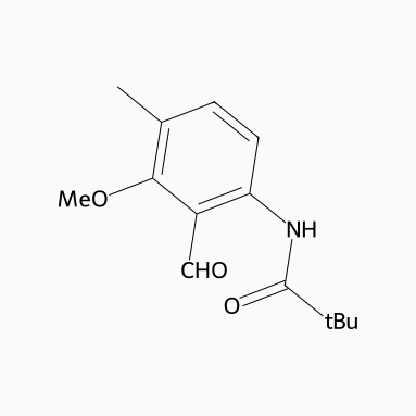 COc1c(C)ccc(NC(=O)C(C)(C)C)c1C=O